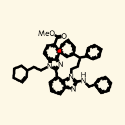 COC(=O)c1ccc2c(c1)nc(-c1cccc3nc(NCc4ccccc4)n(CCC(c4ccccc4)c4ccccc4)c13)n2CCC1C=CCCC1